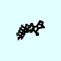 O=C1C2C(C(=O)N1OS(=O)(=O)C(F)(F)C(F)(F)C(F)(F)C(F)(F)F)C1CC13C=CC23